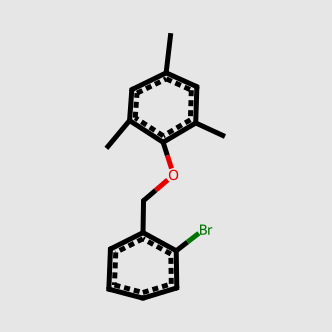 Cc1cc(C)c(OCc2ccccc2Br)c(C)c1